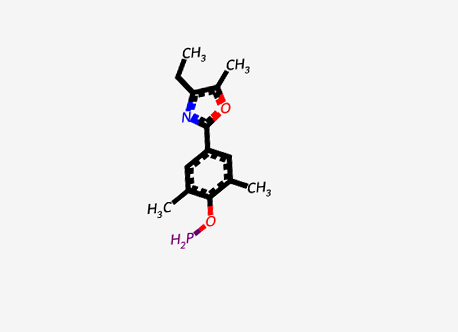 CCc1nc(-c2cc(C)c(OP)c(C)c2)oc1C